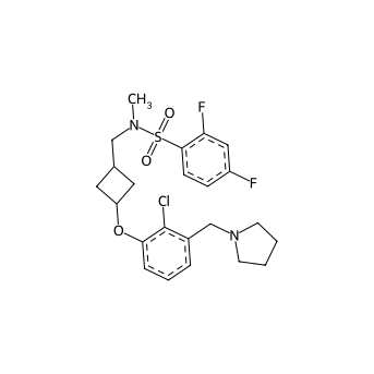 CN(CC1CC(Oc2cccc(CN3CCCC3)c2Cl)C1)S(=O)(=O)c1ccc(F)cc1F